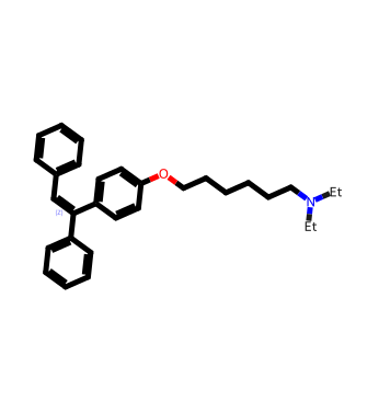 CCN(CC)CCCCCCOc1ccc(/C(=C\c2ccccc2)c2ccccc2)cc1